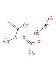 CC(=O)[O-].NCC(=O)O.[OH][Al+][OH]